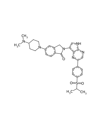 CC(C)S(=O)(=O)c1ccc(-c2cnc3[nH]cc(N4Cc5cc(N6CCC(N(C)C)CC6)ccc5C4=O)c3n2)cc1